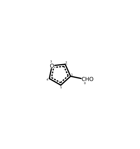 O=Cc1[c]occ1